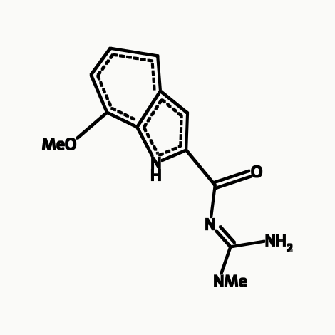 CNC(N)=NC(=O)c1cc2cccc(OC)c2[nH]1